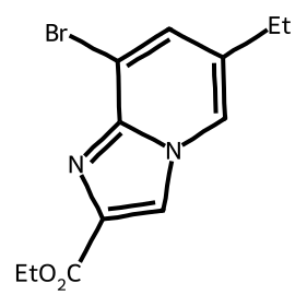 CCOC(=O)c1cn2cc(CC)cc(Br)c2n1